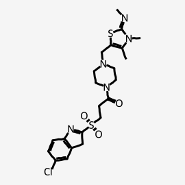 C/N=c1\sc(CN2CCN(C(=O)CCS(=O)(=O)C3=Nc4ccc(Cl)cc4C3)CC2)c(C)n1C